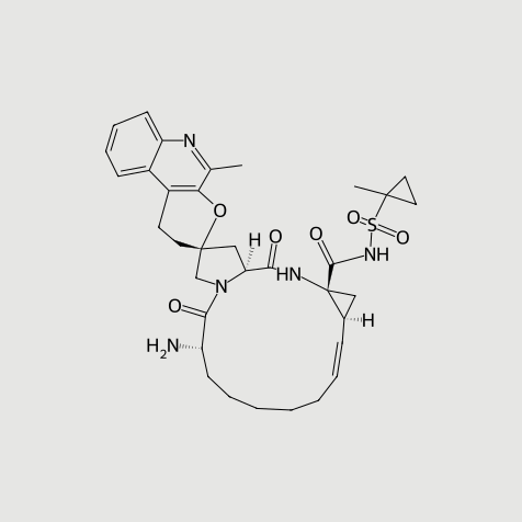 Cc1nc2ccccc2c2c1O[C@]1(CC2)C[C@H]2C(=O)N[C@]3(C(=O)NS(=O)(=O)C4(C)CC4)C[C@H]3C=CCCCCC[C@H](N)C(=O)N2C1